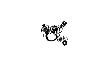 O=C(NC1CCCC1)N[C@H]1CCCCC/C=C\[C@@H]2C[C@@]2(C(=O)NS(=O)(=O)C2CC2)NC(=O)[C@@H]2C[C@@H](NC(=O)N3Cc4ccccc4C3)CN2C1=O